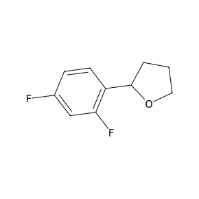 Fc1ccc(C2CCCO2)c(F)c1